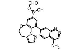 Nc1cnnc2cc(-c3cc(B(O)OC=O)cc4c3-n3nccc3CCO4)ccc12